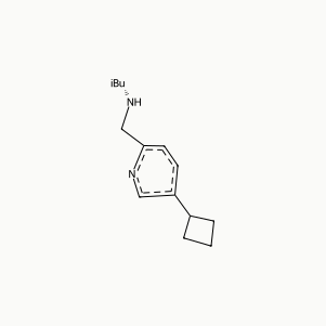 CC[C@@H](C)NCc1ccc(C2CCC2)cn1